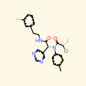 Cc1ccc(N(C(=O)[C@H](F)Cl)[C@@H](C(=O)NCCc2cccc(F)c2)c2cncnc2)cc1